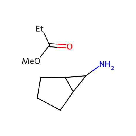 CCC(=O)OC.NC1C2CCCC12